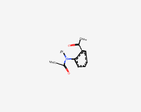 COC(=O)c1ccccc1N(C(=O)OC)C(C)C